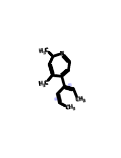 C/C=C\C(=C/C)C1=CC=NC(C)C=C1C